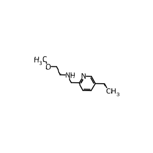 CCc1ccc(CNCCOC)nc1